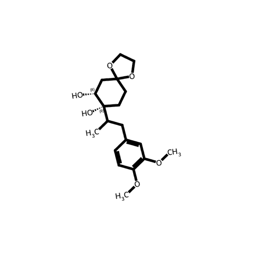 COc1ccc(CC(C)[C@]2(O)CCC3(C[C@H]2O)OCCO3)cc1OC